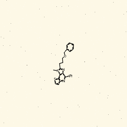 CC(C)c1nc2ccsc2c2c1nc(CCCOCc1ccccc1)n2C